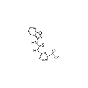 COC(=O)c1cccc(NC(=S)Nc2noc3ccccc23)c1